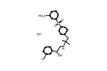 CC(C)(Cc1ccc(S(=O)(=O)c2cccc(C(=O)O)c2)cc1)NC[C@@H](O)c1cccc(Cl)c1.Cl